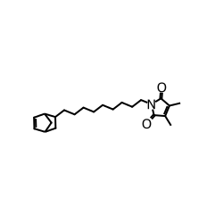 CC1=C(C)C(=O)N(CCCCCCCCCC2CC3C=CC2C3)C1=O